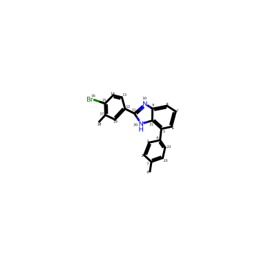 Cc1ccc(-c2cccc3nc(-c4ccc(Br)c(C)c4)[nH]c23)cc1